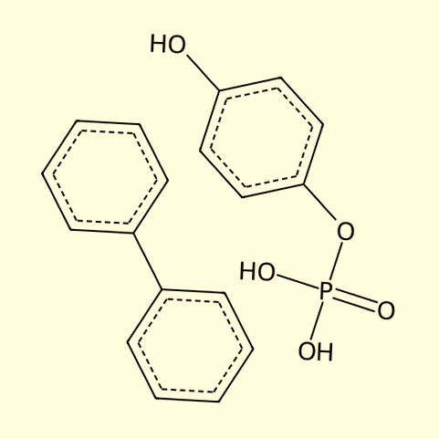 O=P(O)(O)Oc1ccc(O)cc1.c1ccc(-c2ccccc2)cc1